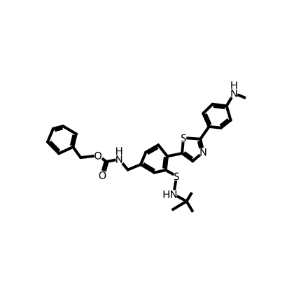 CNc1ccc(-c2ncc(-c3ccc(CNC(=O)OCc4ccccc4)cc3SNC(C)(C)C)s2)cc1